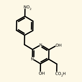 O=C(O)Cc1c(O)nc(Cc2ccc([N+](=O)[O-])cc2)nc1O